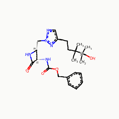 CC(C)(CCc1cnn(C[C@H]2NC(=O)[C@H]2NC(=O)OCc2ccccc2)n1)[Si](C)(C)O